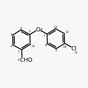 O=Cc1cccc(Oc2ccc(Cl)cc2)c1